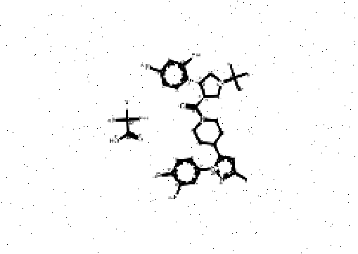 Cc1cc(C2CCN(C(=O)[C@@H]3CN(C(C)(C)C)C[C@H]3c3ccc(F)cc3F)CC2)n(-c2ccc(F)c(F)c2)n1.O=C(O)C(F)(F)F